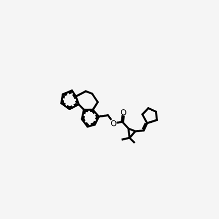 CC1(C)C(C=C2CCCC2)C1C(=O)OCc1cccc2c1CCCc1ccccc1-2